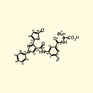 CC[C@H](C)[C@H](NC(=O)c1cc(F)cc(NC(=O)c2cn(-c3ccccc3)nc2-c2ccc(Cl)s2)c1)C(=O)O